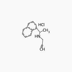 C#CCNC(C)c1cccc2ccccc12.Cl